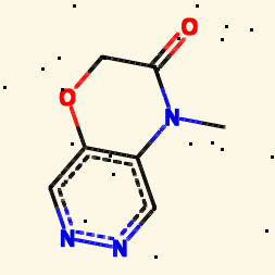 CN1C(=O)COc2cnncc21